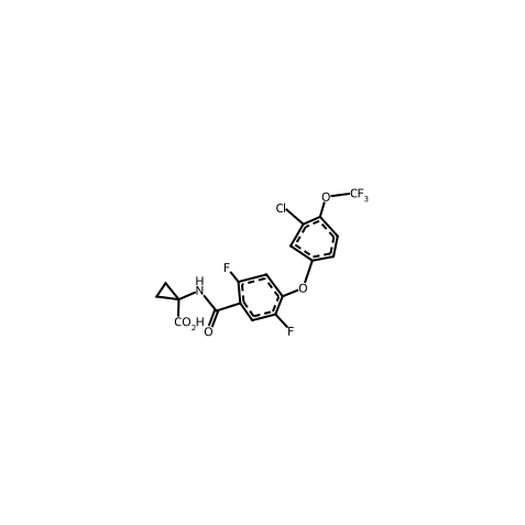 O=C(NC1(C(=O)O)CC1)c1cc(F)c(Oc2ccc(OC(F)(F)F)c(Cl)c2)cc1F